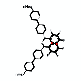 CCCCCC[C@H]1CC[C@H]([C@H]2CC[C@H](C(OC(c3ccc(F)c(F)c3F)[C@H]3CC[C@H]([C@H]4CC[C@H](CCCCCC)CC4)CC3)c3ccc(F)c(F)c3F)CC2)CC1